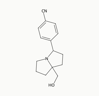 N#Cc1ccc(C2CCC3(CO)CCCN23)cc1